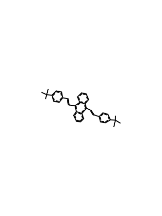 CC(C)(C)c1ccc(C=Cc2c3ccccc3c(C=Cc3ccc(C(C)(C)C)cc3)c3ccccc23)cc1